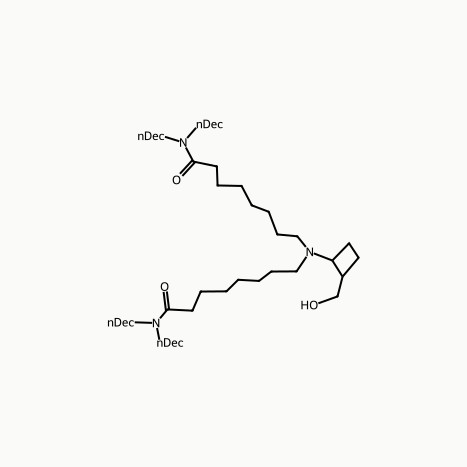 CCCCCCCCCCN(CCCCCCCCCC)C(=O)CCCCCCCN(CCCCCCCC(=O)N(CCCCCCCCCC)CCCCCCCCCC)C1CCC1CO